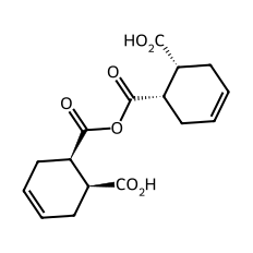 O=C(O)[C@H]1CC=CC[C@H]1C(=O)OC(=O)[C@H]1CC=CC[C@H]1C(=O)O